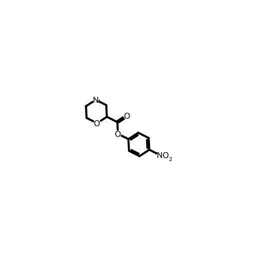 O=C(Oc1ccc([N+](=O)[O-])cc1)C1C[N]CCO1